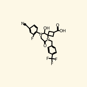 N#Cc1ccc(N2CC(=O)N(Cc3ccc(C(F)(F)F)cc3)C3(CC(C(=O)O)C3)C2O)c(F)c1